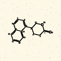 O=C1CCC(c2cccc3ccccc23)CO1